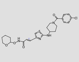 O=C(/C=C/c1csc(NC2CCN(C(=O)c3ccc(Cl)cc3)CC2)n1)NOC1CCCCO1